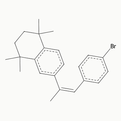 C/C(=C/c1ccc(Br)cc1)c1ccc2c(c1)C(C)(C)CCC2(C)C